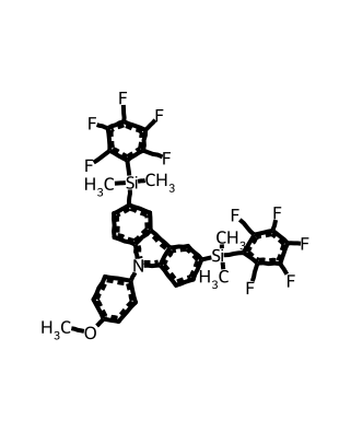 COc1ccc(-n2c3ccc([Si](C)(C)c4c(F)c(F)c(F)c(F)c4F)cc3c3cc([Si](C)(C)c4c(F)c(F)c(F)c(F)c4F)ccc32)cc1